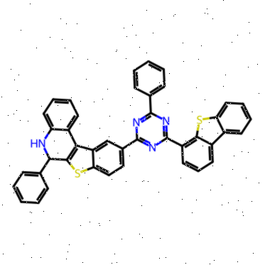 c1ccc(-c2nc(-c3ccc4sc5c(c4c3)-c3ccccc3NC5c3ccccc3)nc(-c3cccc4c3sc3ccccc34)n2)cc1